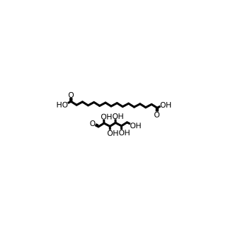 O=C(O)CCCCCCCCCCCCCCC(=O)O.O=CC(O)C(O)C(O)C(O)CO